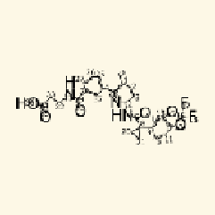 Cc1ccc(NC(=O)C2(c3ccc4c(c3)OC(F)(F)O4)CC2)nc1-c1cccc(C(=O)NCCC(=O)O)c1